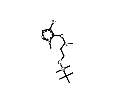 C[C@@H](CCO[Si](C)(C)C(C)(C)C)Oc1c(Br)cnn1C